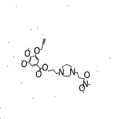 C#CCOc1cc(C(=O)OCCCN2CCCN(CCC(=O)N(C)OC)CC2)cc(OC)c1OC